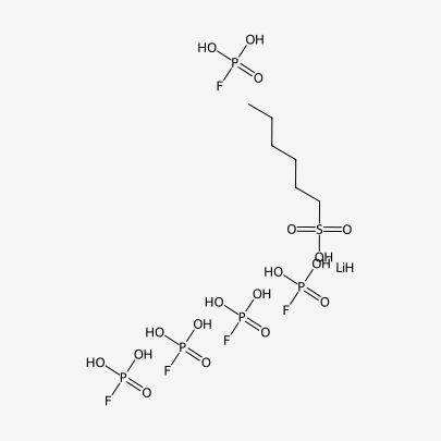 CCCCCCS(=O)(=O)O.O=P(O)(O)F.O=P(O)(O)F.O=P(O)(O)F.O=P(O)(O)F.O=P(O)(O)F.[LiH]